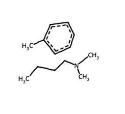 CCCCN(C)C.Cc1ccccc1